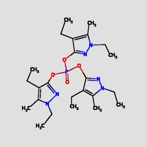 CCc1c(OP(=O)(Oc2nn(CC)c(C)c2CC)Oc2nn(CC)c(C)c2CC)nn(CC)c1C